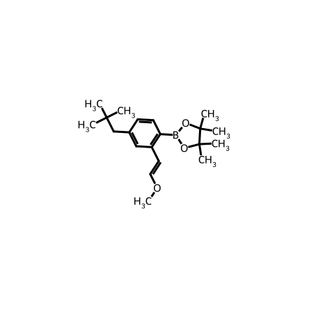 COC=Cc1cc(CC(C)(C)C)ccc1B1OC(C)(C)C(C)(C)O1